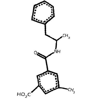 Cc1cc(C(=O)O)cc(C(=O)NC(C)Cc2ccccc2)c1